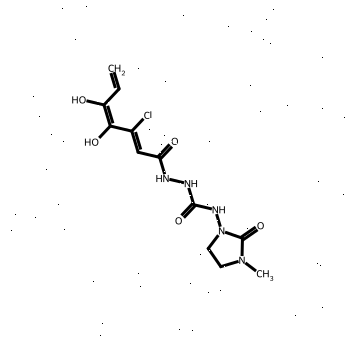 C=C/C(O)=C(O)\C(Cl)=C\C(=O)NNC(=O)NN1CCN(C)C1=O